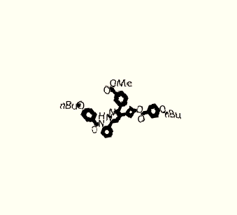 CCCCOc1ccc(C(=O)Nc2ccccc2-c2cc(C3CC(OC(=O)c4ccc(OCCCC)cc4)C3)c(-c3cccc(C(=O)OC)c3)nn2)cc1